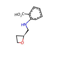 O=C(O)c1ccccc1NC[C@@H]1CCO1